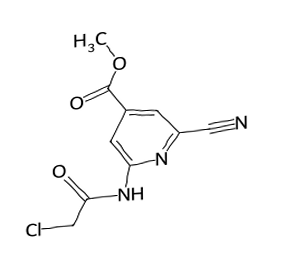 COC(=O)c1cc(C#N)nc(NC(=O)CCl)c1